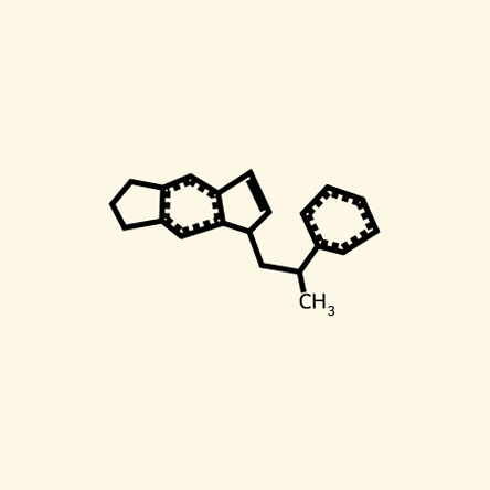 CC(CC1C=Cc2cc3c(cc21)CCC3)c1ccccc1